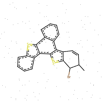 CC1C=Cc2c(sc3c2c2ccccc2c2sc4ccccc4c23)C1Br